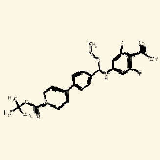 COOC(Nc1cc(F)c(C(=O)O)c(F)c1)c1ccc(C2=CCN(C(=O)OC(C)(C)C)CC2)cc1